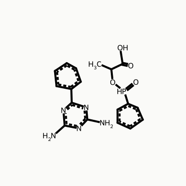 CC(O[PH](=O)c1ccccc1)C(=O)O.Nc1nc(N)nc(-c2ccccc2)n1